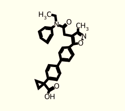 CCN(C(=O)Cc1c(C)noc1-c1ccc(-c2ccc(C3(C(=O)O)CC3)cc2)cc1)c1ccccc1